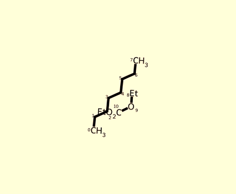 CCCCCCCC.CCOC(=O)OCC